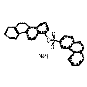 O=S(=O)(Oc1cccc2c3c(ccc12)C1=C(CCC=C1)CC3)c1ccc2ccc3ccccc3c2c1.[NaH]